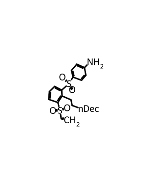 C=CS(=O)(=O)c1cccc(S(=O)(=O)c2ccc(N)cc2)c1CCCCCCCCCCCC